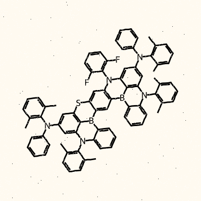 Cc1cccc(C)c1N(c1ccccc1)c1cc2c3c(c1)N(c1c(C)cccc1C)c1ccccc1B3c1cc3c(cc1S2)N(c1c(F)cccc1F)c1cc(N(c2ccccc2)c2c(C)cccc2C)cc2c1B3c1ccccc1N2c1c(C)cccc1C